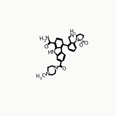 CN1CCN(C(=O)c2ccc3c(c2)[nH]c2c(C(N)=O)ccc(-c4cccc(N5CCCS5(=O)=O)c4CN)c23)CC1